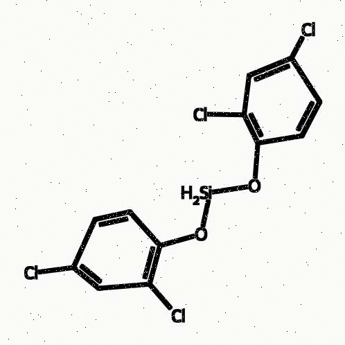 Clc1ccc(O[SiH2]Oc2ccc(Cl)cc2Cl)c(Cl)c1